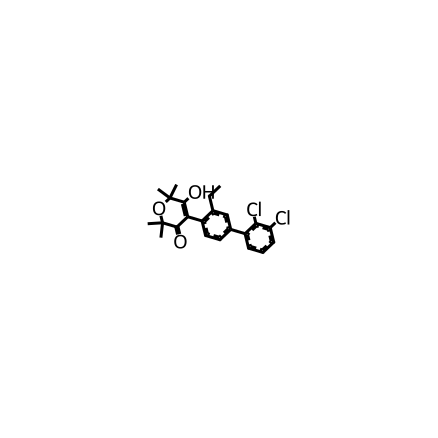 CCc1cc(-c2cccc(Cl)c2Cl)ccc1C1=C(O)C(C)(C)OC(C)(C)C1=O